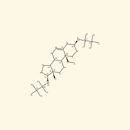 CC[C@]12CC[C@H](O[Si](C)(C)C(C)(C)C)CC1=CCC1C2CC[C@@]2(C)C1CC[C@@H]2O[Si](C)(C)C(C)(C)C